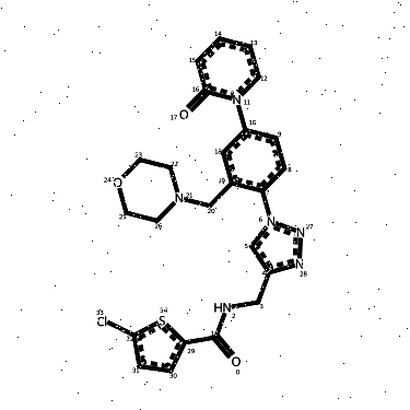 O=C(NCc1cn(-c2ccc(-n3ccccc3=O)cc2CN2CCOCC2)nn1)c1ccc(Cl)s1